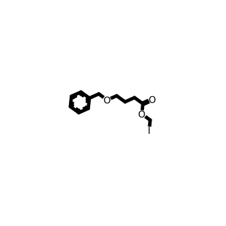 O=C(CCCOCc1ccccc1)OCI